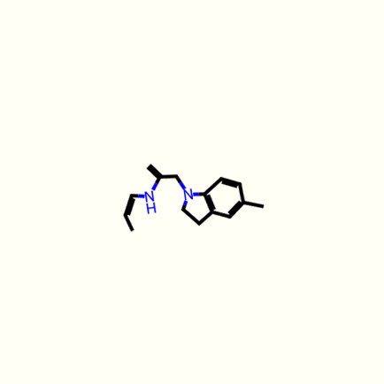 C=C(CN1CCc2cc(C)ccc21)N/C=C\C